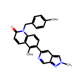 COc1ccc(Cn2c(=O)ccc3c(OC)c(-c4cc5cn(C)nc5cn4)ccc32)cc1